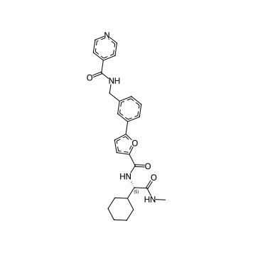 CNC(=O)[C@@H](NC(=O)c1ccc(-c2cccc(CNC(=O)c3ccncc3)c2)o1)C1CCCCC1